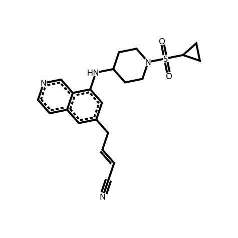 N#C/C=C/Cc1cc(NC2CCN(S(=O)(=O)C3CC3)CC2)c2cnccc2c1